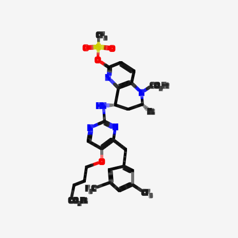 CCOC(=O)CCCOc1cnc(N[C@H]2C[C@@H](CC)N(C(=O)OCC)c3ccc(OS(=O)(=O)C(F)(F)F)nc32)nc1Cc1cc(C(F)(F)F)cc(C(F)(F)F)c1